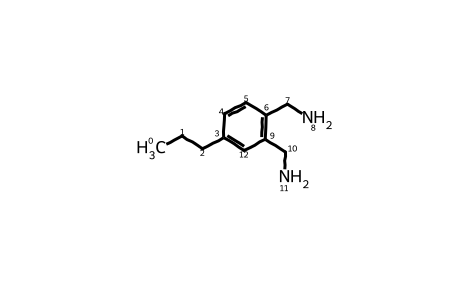 CCCc1ccc(CN)c(CN)c1